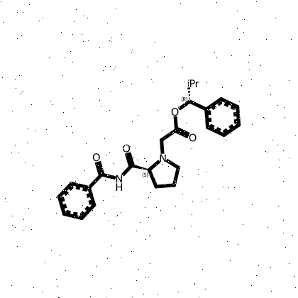 CC(C)[C@@H](OC(=O)CN1CCC[C@H]1C(=O)NC(=O)c1ccccc1)c1ccccc1